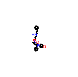 COc1ccc(N2C(=O)C(=CC(C)=NOCCCNCCCc3ccccc3)C2c2ccccc2)cc1